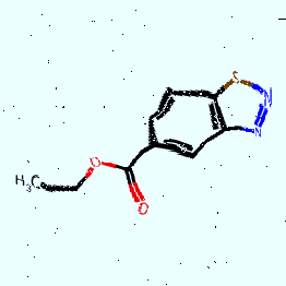 CCOC(=O)c1ccc2snnc2c1